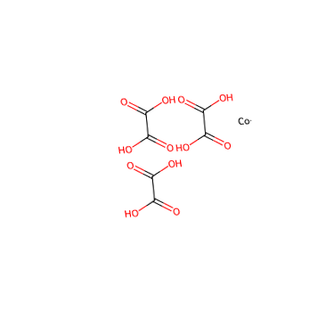 O=C(O)C(=O)O.O=C(O)C(=O)O.O=C(O)C(=O)O.[Co]